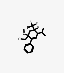 COC1(CCl)CC(F)(C(F)(F)F)C(C(C)C)C=C1c1ccccc1